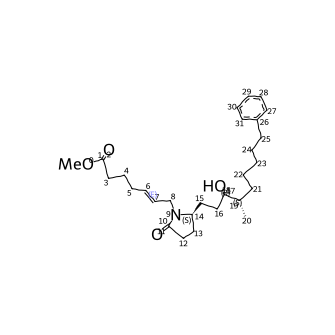 COC(=O)CCC/C=C/CN1C(=O)CC[C@@H]1CC[C@@H](O)[C@@H](C)CCCCCc1ccccc1